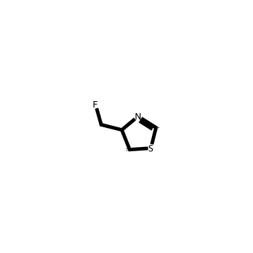 FCC1[C]S[C]=N1